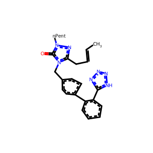 C/C=C/Cc1nn(CCCCC)c(=O)n1Cc1ccc(-c2ccccc2-c2nnn[nH]2)cc1